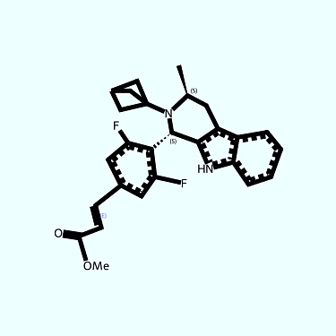 COC(=O)/C=C/c1cc(F)c([C@H]2c3[nH]c4ccccc4c3C[C@H](C)N2C23CC(C2)C3)c(F)c1